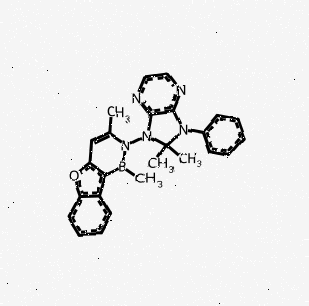 CB1c2c(oc3ccccc23)C=C(C)N1N1c2nccnc2N(c2ccccc2)C1(C)C